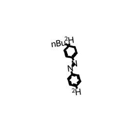 [2H]c1ccc(N=NC2=CCC([2H])(CCCC)C=C2)cc1